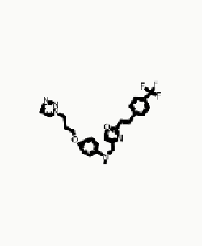 CN(Cc1coc(/C=C/c2ccc(C(F)(F)F)cc2)n1)c1ccc(OCCCn2ccnn2)cc1